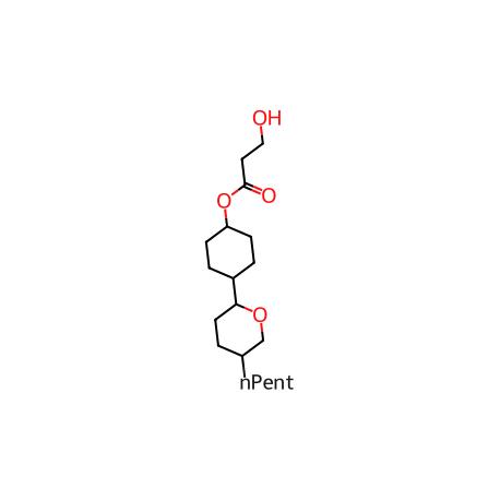 CCCCCC1CCC(C2CCC(OC(=O)CCO)CC2)OC1